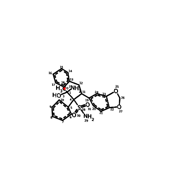 CC(N)(O)C(c1ccccc1)(C(Cc1ccccc1)c1ccc2c(c1)OCO2)S(N)(=O)=O